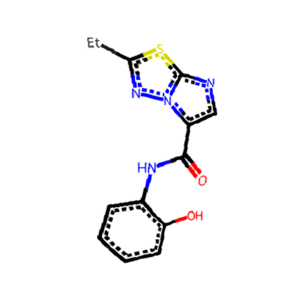 CCc1nn2c(C(=O)Nc3ccccc3O)cnc2s1